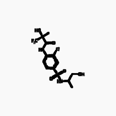 CC(CO)NS(=O)(=O)c1ccc(NC(=O)[C@@](C)(O)C(F)(F)F)c(Cl)c1